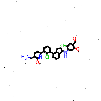 COc1cc(N[C@H]2CCc3c(-c4cccc(-c5ccc(CN)c(OC)n5)c4Cl)cccc32)c(Cl)cc1C=O